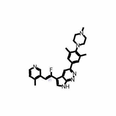 Cc1ccncc1/C=C(\F)c1c[nH]c2nnc(-c3cc(C)c(N4CCN(C)CC4)c(C)c3)cc12